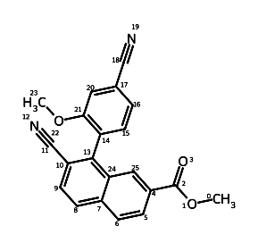 COC(=O)c1ccc2ccc(C#N)c(-c3ccc(C#N)cc3OC)c2c1